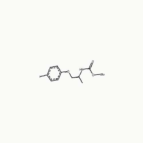 CC(COc1ccc(I)cc1)NC(=O)OC(C)(C)C